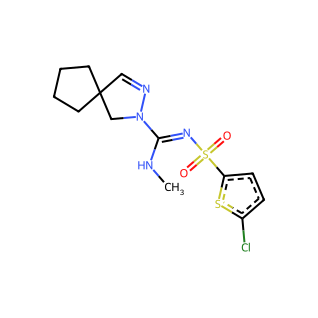 CN/C(=N\S(=O)(=O)c1ccc(Cl)s1)N1CC2(C=N1)CCCC2